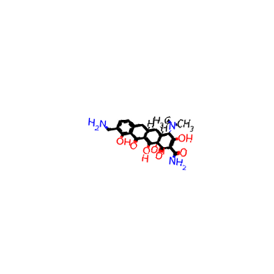 CN(C)[C@@H]1C(O)=C(C(N)=O)C(=O)[C@@]2(O)C(O)=C3C(=O)c4c(ccc(CN)c4O)C[C@H]3C[C@@H]12